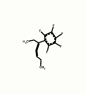 CCC=C=C(CC)c1c(F)c(F)c(F)c(F)c1F